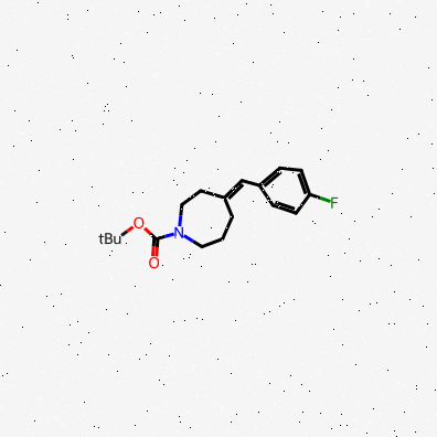 CC(C)(C)OC(=O)N1CCC/C(=C\c2ccc(F)cc2)CC1